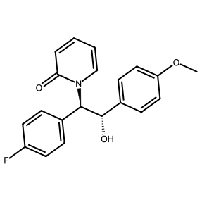 COc1ccc([C@H](O)[C@@H](c2ccc(F)cc2)n2ccccc2=O)cc1